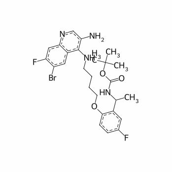 CC(NC(=O)OC(C)(C)C)c1cc(F)ccc1OCCCCNc1c(N)cnc2cc(F)c(Br)cc12